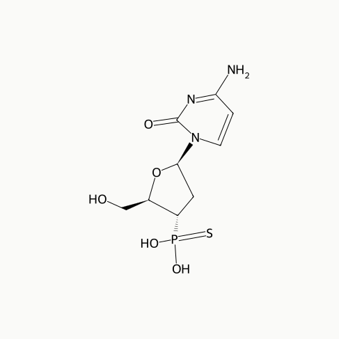 Nc1ccn([C@H]2C[C@H](P(O)(O)=S)[C@@H](CO)O2)c(=O)n1